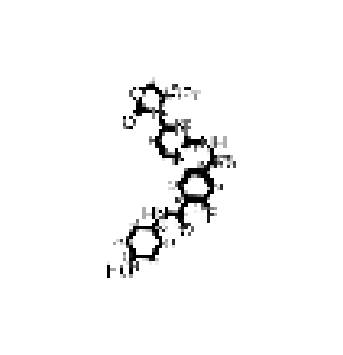 CC(C)[C@H]1COC(=O)N1c1ccnc(N[C@@H](C)c2ccc(C(=O)NC3CCC(O)CC3)c(F)c2)n1